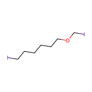 ICCCCCCOCI